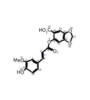 COc1cc(/C=C/C(=O)Oc2cc3c(cc2C(=O)O)OCO3)ccc1O